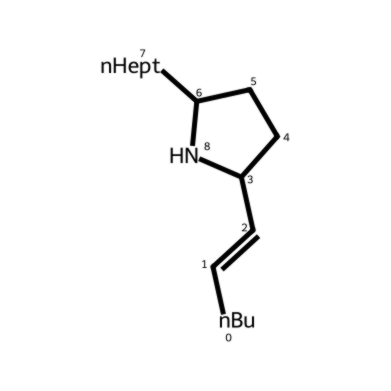 CCCCC=CC1CCC(CCCCCCC)N1